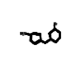 CC(C)[C@@H]1CCCN(Cc2ccc([N+](=O)[O-])cc2)C1